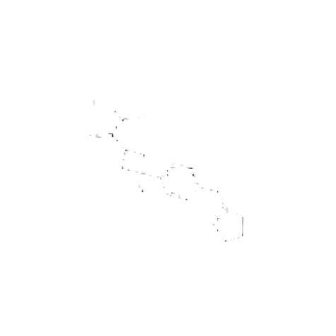 CCN(C)C(=O)C1CC(O)(c2ccc(CN3CCCC3)c(F)c2)C1